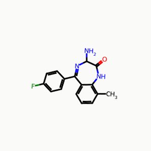 Cc1cccc2c1NC(=O)C(N)N=C2c1ccc(F)cc1